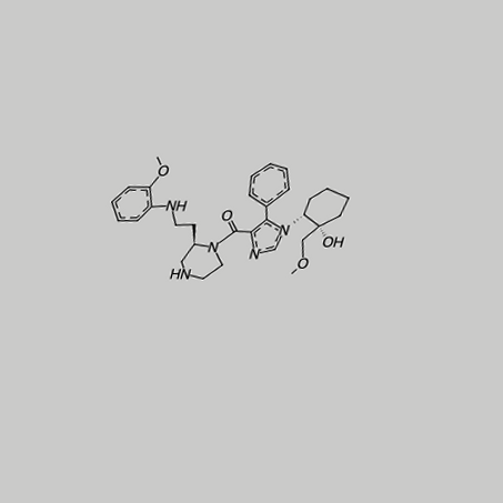 COC[C@]1(O)CCCC[C@H]1n1cnc(C(=O)N2CCNC[C@H]2CCNc2ccccc2OC)c1-c1ccccc1